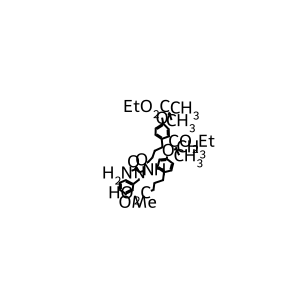 CCOC(=O)C(C)(C)Oc1ccc(CCCC(=O)NN(Cc2cccc(OC)c2)C(N)=O)cc1.CCOC(=O)C(C)(C)Oc1ccc(CCCC(=O)O)cc1